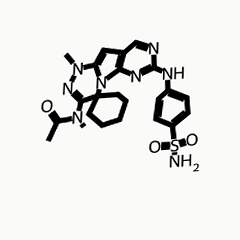 CC(=O)N(C)C1=NN(C)c2cc3cnc(Nc4ccc(S(N)(=O)=O)cc4)nc3n2C12CCCCC2